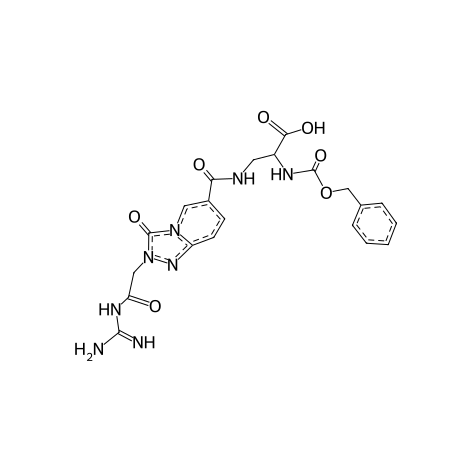 N=C(N)NC(=O)Cn1nc2ccc(C(=O)NCC(NC(=O)OCc3ccccc3)C(=O)O)cn2c1=O